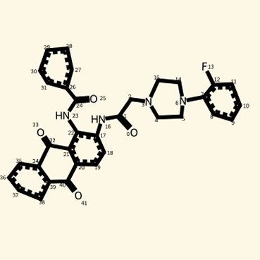 O=C(CN1CCN(c2ccccc2F)CC1)Nc1ccc2c(c1NC(=O)c1ccccc1)C(=O)c1ccccc1C2=O